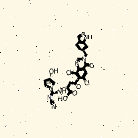 N#C/N=C(\NC[C@H](CC(=O)c1c(Cl)cc2c(=O)n(Cc3ccc4cn[nH]c4c3)cnc2c1Cl)C(=O)O)N1CC[C@H](O)C1